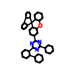 c1ccc(-c2nc(-c3ccc4c(c3)Oc3ccccc3C43c4ccccc4-c4ccccc43)nc(-c3ccccc3-c3ccccc3)n2)cc1